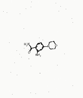 NC(=O)c1ccc(N2CCOCC2)cc1N